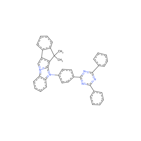 CC1(C)c2ccccc2-c2cn3c4ccccc4n(-c4ccc(-c5nc(-c6ccccc6)nc(-c6ccccc6)n5)cc4)c3c21